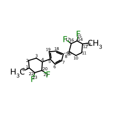 CC1CCC(c2ccc([C@H]3CCC(C)C(F)C3F)cc2)C(F)C1F